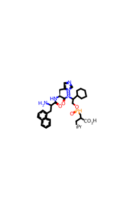 CC(C)CC(C[PH](=O)OCC(NC(=O)[C@H](Cc1cnc[nH]1)NC(=O)C(N)Cc1cccc2ccccc12)C1CCCCC1)C(=O)O